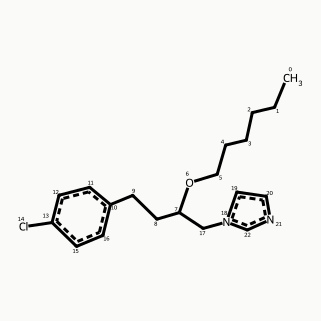 CCCCCCOC(CCc1ccc(Cl)cc1)Cn1ccnc1